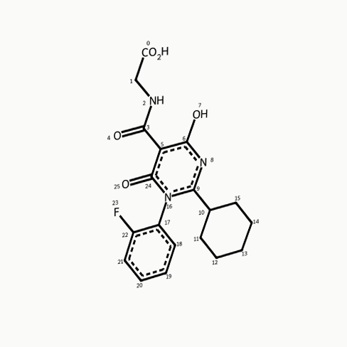 O=C(O)CNC(=O)c1c(O)nc(C2CCCCC2)n(-c2ccccc2F)c1=O